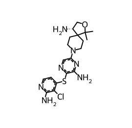 CC1(C)OC[C@@H](N)C12CCN(c1cnc(Sc3ccnc(N)c3Cl)c(N)n1)CC2